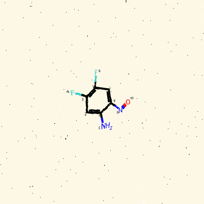 Nc1cc(F)c(F)cc1N=O